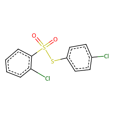 O=S(=O)(Sc1ccc(Cl)cc1)c1ccccc1Cl